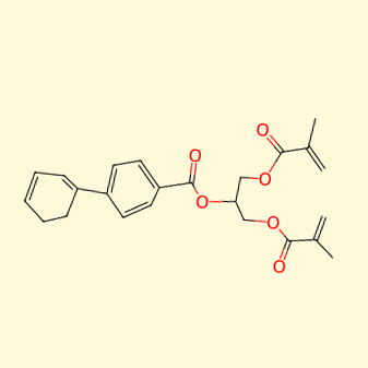 C=C(C)C(=O)OCC(COC(=O)C(=C)C)OC(=O)c1ccc(C2=CC=CCC2)cc1